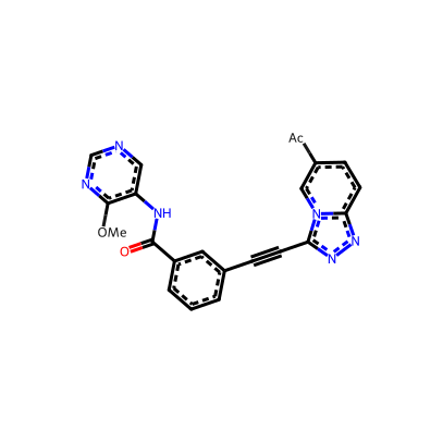 COc1ncncc1NC(=O)c1cccc(C#Cc2nnc3ccc(C(C)=O)cn23)c1